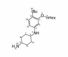 CCCCCCOc1cc(NC2CCC(N)CC2)ccc1C(C)(C)C